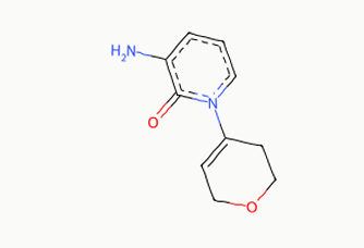 Nc1cccn(C2=CCOCC2)c1=O